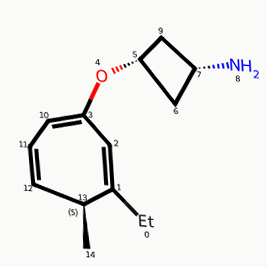 CCC1=CC(O[C@H]2C[C@@H](N)C2)=CC=C[C@@H]1C